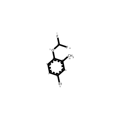 CCc1ccc(OC(F)F)c(C)c1